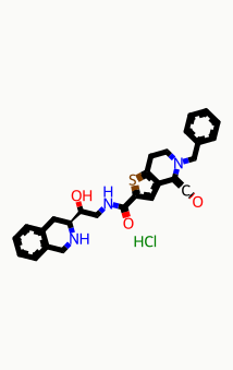 Cl.O=C=C1c2cc(C(=O)NCC(O)[C@@H]3Cc4ccccc4CN3)sc2CCN1Cc1ccccc1